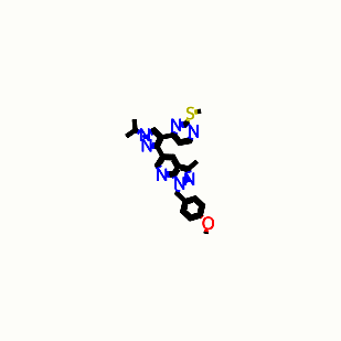 COc1ccc(Cn2nc(C)c3cc(-c4nn(C(C)C)cc4-c4ccnc(SC)n4)cnc32)cc1